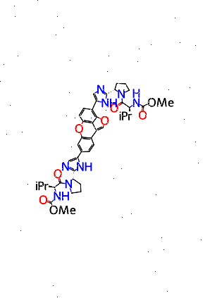 COC(=O)N[C@H](C(=O)N1CCC[C@H]1c1ncc(-c2ccc3c(c2)Oc2ccc(-c4cnc([C@@H]5CCCN5C(=O)[C@@H](NC(=O)OC)C(C)C)[nH]4)c4occ-3c24)[nH]1)C(C)C